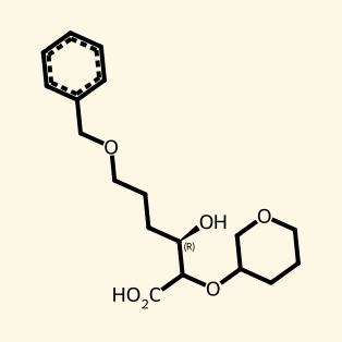 O=C(O)C(OC1CCCOC1)[C@H](O)CCCOCc1ccccc1